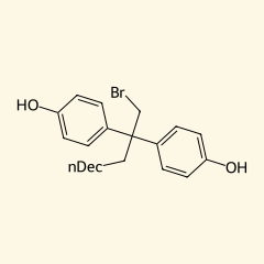 CCCCCCCCCCCC(CBr)(c1ccc(O)cc1)c1ccc(O)cc1